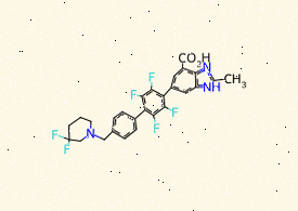 Cc1nc2c(C(=O)O)cc(-c3c(F)c(F)c(-c4ccc(CN5CCCC(F)(F)C5)cc4)c(F)c3F)cc2[nH]1